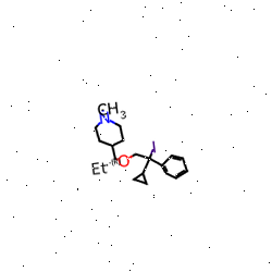 CC[C@@H](OCC(I)(c1ccccc1)C1CC1)C1CCN(C)CC1